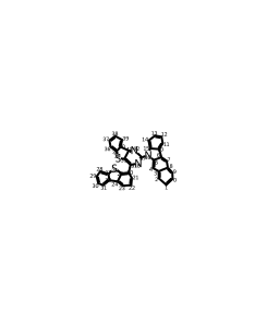 c1ccc2cc3c(cc2c1)c1ccccc1n3-c1nc(-c2cccc3c2sc2ccccc23)c2sc3ccccc3c2n1